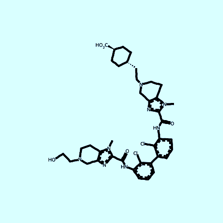 Cn1c(C(=O)Nc2cccc(-c3cccc(NC(=O)c4nc5c(n4C)CCN(CC[C@H]4CC[C@H](C(=O)O)CC4)C5)c3Cl)c2Cl)nc2c1CCN(CCO)C2